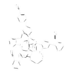 C=C1/C=C\C=C/CN(c2cc(-c3ccccc3C#N)ccc2-c2nc(-c3ccc(-c4ccc(C#N)cc4)cc3)nc(-c3ccc(-c4ccccc4C#N)cc3-n3c4ccccc4c4ccccc43)n2)c2ccccc21